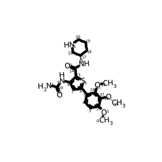 COc1ccc(-c2cc(NC(N)=O)c(C(=O)N[C@H]3CCCNC3)s2)c(OC)c1OC